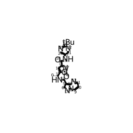 C[C@@H](NC(=O)c1cnn2cccnc12)c1cc(C(=O)Nc2cnc(C(C)(C)C)nc2)no1